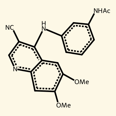 COc1cc2ncc(C#N)c(Nc3cccc(NC(C)=O)c3)c2cc1OC